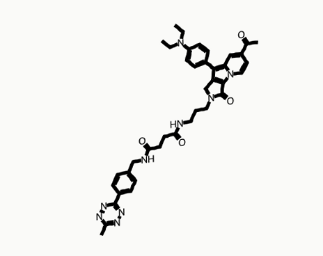 CCN(CC)c1ccc(-c2c3c(n4ccc(C(C)=O)cc24)C(=O)N(CCCNC(=O)CCC(=O)NCc2ccc(-c4nnc(C)nn4)cc2)C3)cc1